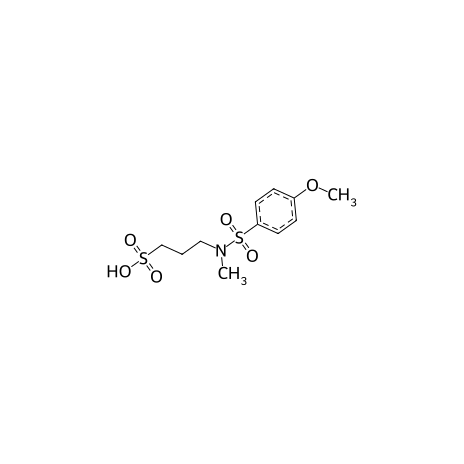 COc1ccc(S(=O)(=O)N(C)CCCS(=O)(=O)O)cc1